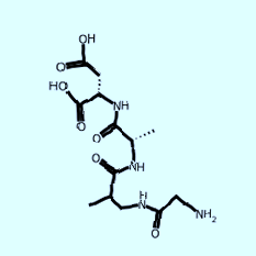 CC(CNC(=O)CN)C(=O)N[C@@H](C)C(=O)N[C@@H](CC(=O)O)C(=O)O